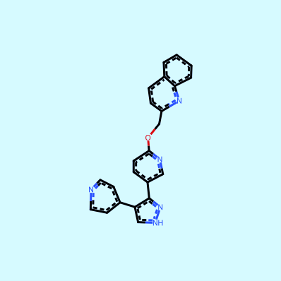 c1ccc2nc(COc3ccc(-c4n[nH]cc4-c4ccncc4)cn3)ccc2c1